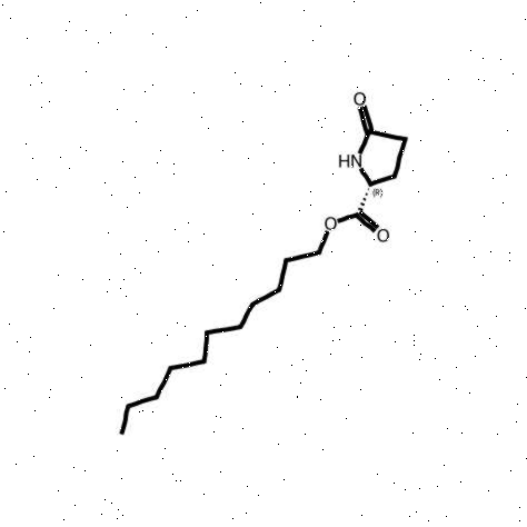 CCCCCCCCCCCOC(=O)[C@H]1CCC(=O)N1